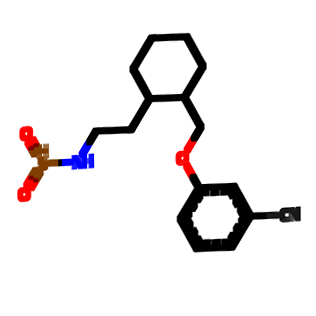 N#Cc1cccc(OCC2CCCCC2CCN[SH](=O)=O)c1